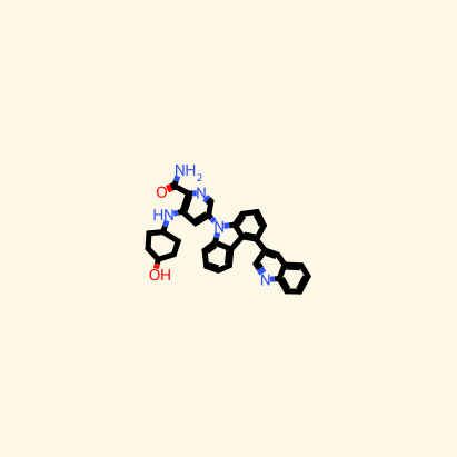 NC(=O)c1ncc(-n2c3ccccc3c3c(-c4cnc5ccccc5c4)cccc32)cc1NC1CCC(O)CC1